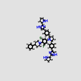 Fc1cc(N2[C@@H](c3ccc(-c4c[nH]c(C5CCCN5)n4)cc3)CC[C@@H]2c2ccc(-c3c[nH]c([C@@H]4CCCN4)n3)cc2)cc(F)c1N1CCC(c2ccccc2)CC1